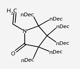 C=CN1C(=O)C(CCCCCCCCCC)(CCCCCCCCCC)C(CCCCCCCCCC)(CCCCCCCCCC)C1(CCCCCCCCCC)CCCCCCCCCC